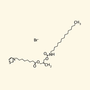 C=C(COC(=O)CCCCCCC[n+]1ccsc1)COC(=O)NCCCCCCCCCCCCCCC.[Br-]